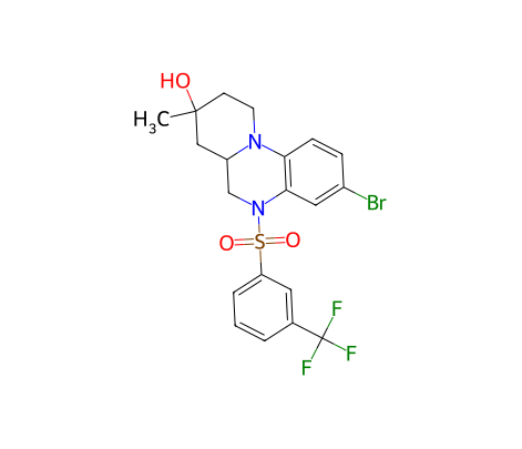 CC1(O)CCN2c3ccc(Br)cc3N(S(=O)(=O)c3cccc(C(F)(F)F)c3)CC2C1